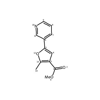 COC(=O)c1cc(-c2cccnc2)oc1C